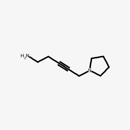 NCCC#CCN1CCCC1